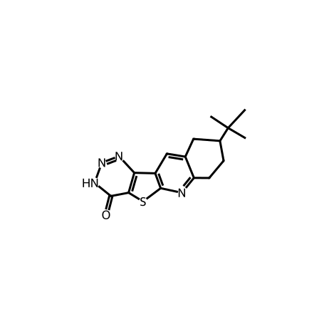 CC(C)(C)C1CCc2nc3sc4c(=O)[nH]nnc4c3cc2C1